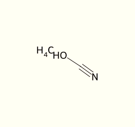 C.N#CO